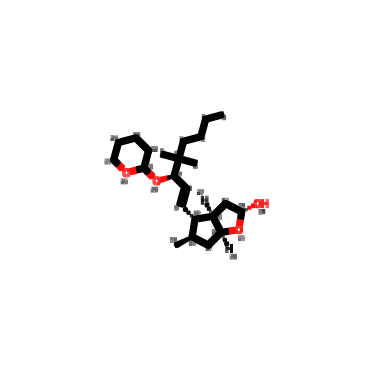 CCCCC(C)(C)[C@@H](C=C[C@@H]1[C@H]2C[C@H](O)O[C@H]2C[C@H]1C)OC1CCCCO1